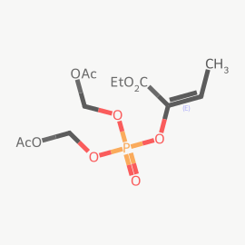 C/C=C(/OP(=O)(OCOC(C)=O)OCOC(C)=O)C(=O)OCC